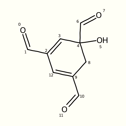 O=CC1=CC(O)(C=O)CC(C=O)=C1